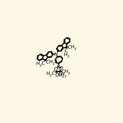 CC1(C)c2ccccc2-c2ccc(N(C3=CCC=C(B4OC(C)(C)C(C)(C)O4)C=C3)c3ccc4c(c3)C(C)(C)c3ccccc3-4)cc21